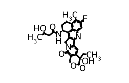 CC[C@@]1(O)C(=O)OCc2c1cc1n(c2=O)Cc2c-1nc1cc(F)c(C)c3c1c2[C@@H](NC(=O)CC(C)O)CC3